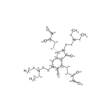 CCN(CC)CCN1C(=O)c2c(cn(CCN(CC)CC)c(=O)c2CCC(=O)N=O)[C@@H]1CCC(=O)N=O